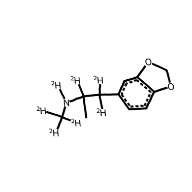 [2H]N(C([2H])([2H])[2H])C([2H])(C)C([2H])([2H])c1ccc2c(c1)OCO2